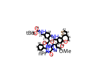 CCCNC(=O)c1ccc(-c2cc3c(cc2C(=O)Nc2ccc(CNC(=O)OC(C)(C)C)cc2CC(=O)NCc2ccccc2)-c2sccc2CCO3)c(C(=O)OC)n1